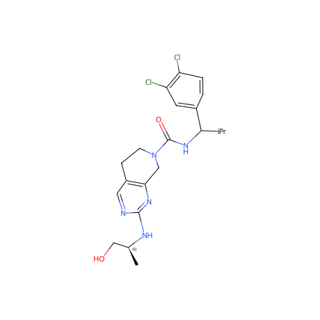 CC(C)C(NC(=O)N1CCc2cnc(N[C@@H](C)CO)nc2C1)c1ccc(Cl)c(Cl)c1